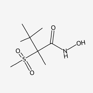 CC(C)(C)C(C)(C(=O)NO)S(C)(=O)=O